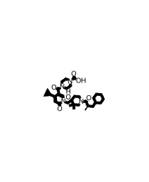 C[C@H](CC1CCCCC1)C(=O)N1CC[C@@](O)(Cn2cc(C(=O)N3CCN(C(=O)O)CC3)c(C3CC3)cc2=O)C(C)(C)C1